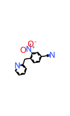 N#Cc1ccc(Cc2ccccn2)c([N+](=O)[O-])c1